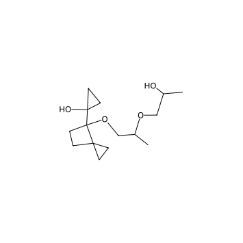 CC(O)COC(C)COC1(C2(O)CC2)CCC12CC2